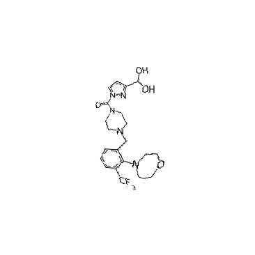 O=C(N1CCN(Cc2cccc(C(F)(F)F)c2N2CCOCC2)CC1)n1ccc(C(O)O)n1